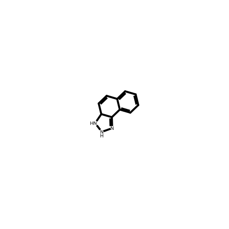 C1=CC2NNN=C2c2ccccc21